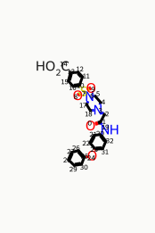 O=C(CN1CCN(S(=O)(=O)c2ccc(C(=O)O)cc2)CC1)Nc1ccc(Oc2ccccc2)cc1